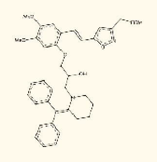 COCc1cc(C=Cc2cc(OC)c(OC)cc2OCC(O)CN2CCCCC2=C(c2ccccc2)c2ccccc2)on1